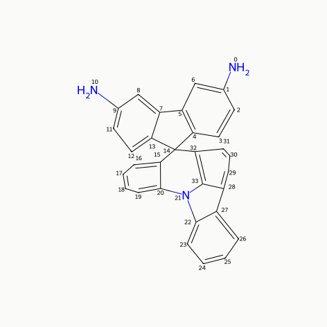 Nc1ccc2c(c1)-c1cc(N)ccc1C21c2ccccc2-n2c3ccccc3c3cccc1c32